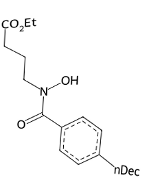 CCCCCCCCCCc1ccc(C(=O)N(O)CCCC(=O)OCC)cc1